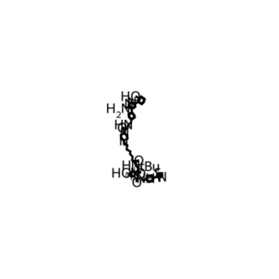 Cc1ncsc1-c1ccc(CNC(=O)[C@@H]2C[C@@H](O)CN2C(=O)[C@@H](NC(=O)CCCCCCCN2CCN(C(=O)CNCc3ccc(-c4cc(-c5ccccc5O)nnc4N)cc3)CC2)C(C)(C)C)cc1